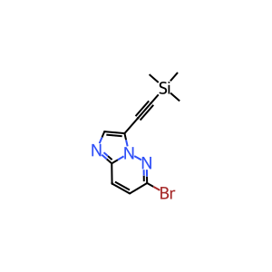 C[Si](C)(C)C#Cc1cnc2ccc(Br)nn12